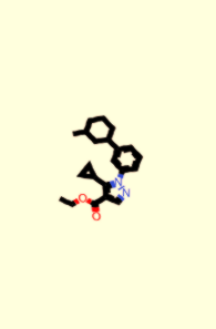 CCOC(=O)c1cnn(-c2cccc(C3CCCC(C)C3)c2)c1C1CC1